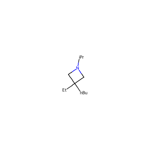 CCCCC1(CC)CN(C(C)C)C1